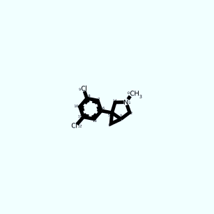 CN1CC2CC2(c2cc(Cl)cc(Cl)c2)C1